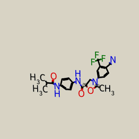 CC(C)C(=O)Nc1ccc(NC(=O)[C@@H]2CN(c3ccc(C#N)c(C(F)(F)F)c3)[C@@H](C)O2)cc1